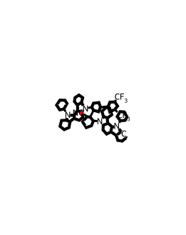 N#Cc1cccc(-n2c3ccccc3c3c2ccc2c4ccccc4n(-c4ccccc4)c23)c1-c1cc(-c2cc(C(F)(F)F)cc(C(F)(F)F)c2)ccc1-n1c2ccccc2c2c1ccc1c3ccccc3n(-c3ccccc3)c12